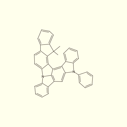 CC1(C)c2ccccc2-c2ccc3c(c21)c1c2c4ccccc4n(-c4ccccc4)c2cc2c4ccccc4n3c21